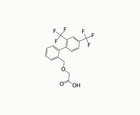 O=C(O)COCc1ccccc1-c1ccc(C(F)(F)F)cc1C(F)(F)F